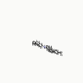 O=c1ccc2cc(/C=C/C(O)CN3CCN(c4ccc(C5CC5)cc4)CC3)ccc2[nH]1